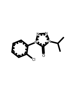 CC(C)n1nnn(-c2ccccc2Cl)c1=O